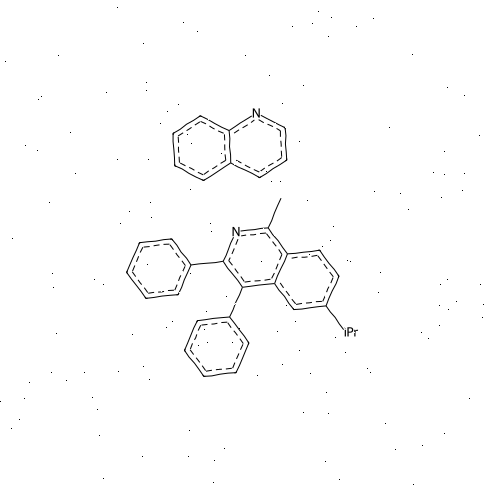 Cc1nc(-c2ccccc2)c(-c2ccccc2)c2cc(C(C)C)ccc12.c1ccc2ncccc2c1